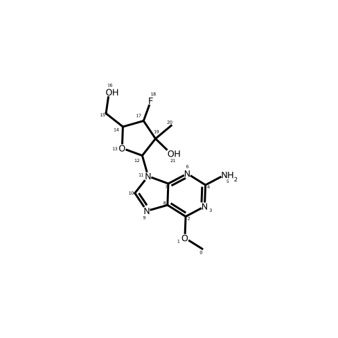 COc1nc(N)nc2c1ncn2C1OC(CO)C(F)C1(C)O